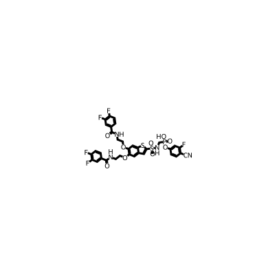 N#Cc1ccc(OP(=O)(O)CNS(=O)(=O)c2cc3cc(OCCNC(=O)c4ccc(F)c(F)c4)c(OCCNC(=O)c4ccc(F)c(F)c4)cc3s2)cc1F